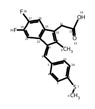 CSc1ccc(C=C2C(C)=C(CC(=O)O)c3cc(F)c(F)cc32)cc1